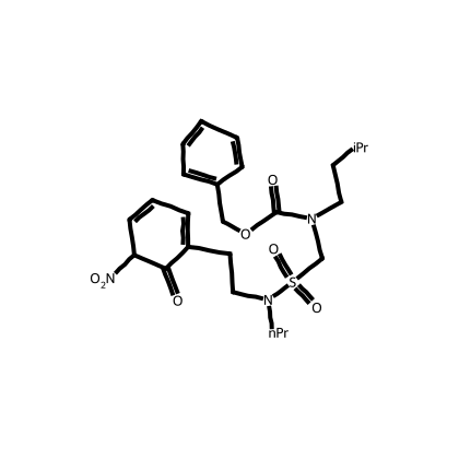 CCCN(CCC1=CC=CC([N+](=O)[O-])C1=O)S(=O)(=O)CN(CCC(C)C)C(=O)OCc1ccccc1